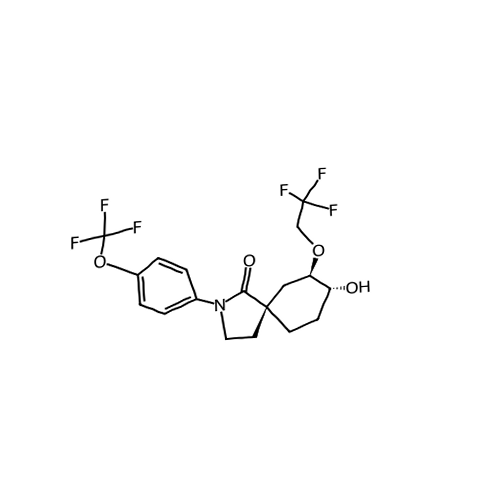 O=C1N(c2ccc(OC(F)(F)F)cc2)CC[C@@]12CC[C@@H](O)[C@H](OCC(F)(F)F)C2